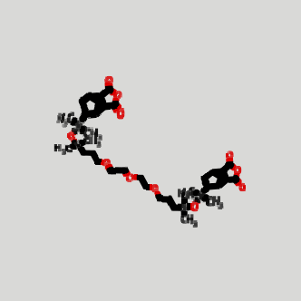 C[Si](C)(CCCOCCOCCOCCC[Si](C)(C)O[Si](C)(C)C1CC2CC1C1C(=O)OC(=O)C21)O[Si](C)(C)C1CC2CC1C1C(=O)OC(=O)C21